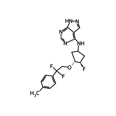 Cc1ccc(C(F)(F)CO[C@@H]2CC(Nc3ncnc4[nH]ncc34)C[C@H]2F)cc1